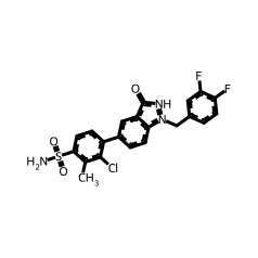 Cc1c(S(N)(=O)=O)ccc(-c2ccc3c(c2)c(=O)[nH]n3Cc2ccc(F)c(F)c2)c1Cl